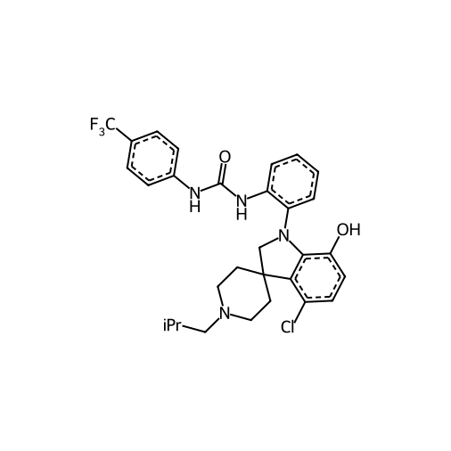 CC(C)CN1CCC2(CC1)CN(c1ccccc1NC(=O)Nc1ccc(C(F)(F)F)cc1)c1c(O)ccc(Cl)c12